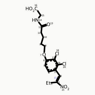 CC/C(=C\c1ccc(OCCCCC(=O)NCC(=O)O)c(Cl)c1Cl)[N+](=O)[O-]